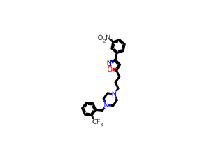 O=[N+]([O-])c1cccc(-c2cc(CCCN3CCN(Cc4ccccc4C(F)(F)F)CC3)on2)c1